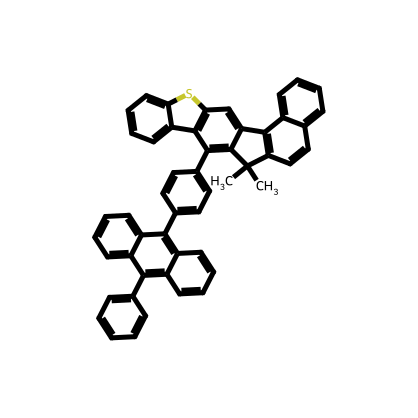 CC1(C)c2ccc3ccccc3c2-c2cc3sc4ccccc4c3c(-c3ccc(-c4c5ccccc5c(-c5ccccc5)c5ccccc45)cc3)c21